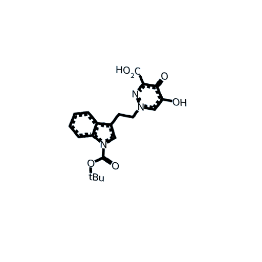 CC(C)(C)OC(=O)n1cc(CCn2cc(O)c(=O)c(C(=O)O)n2)c2ccccc21